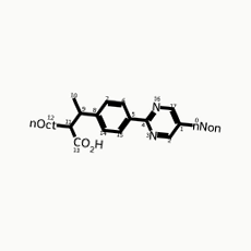 CCCCCCCCCc1cnc(-c2ccc(C(C)C(CCCCCCCC)C(=O)O)cc2)nc1